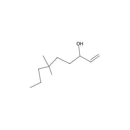 C=CC(O)CCC(C)(C)CCC